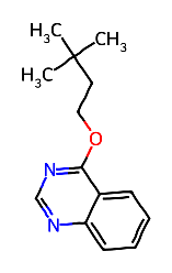 CC(C)(C)CCOc1ncnc2ccccc12